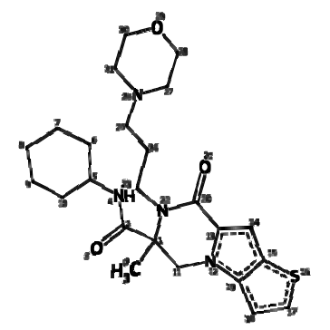 CC1(C(=O)NC2CCCCC2)Cn2c(cc3sccc32)C(=O)N1CCCN1CCOCC1